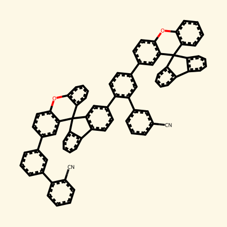 N#Cc1cccc(-c2cc(-c3ccc4c(c3)C3(c5ccccc5O4)c4ccccc4-c4ccccc43)ccc2-c2ccc3c(c2)C2(c4ccccc4Oc4ccc(-c5cccc(-c6ccccc6C#N)c5)cc42)c2ccccc2-3)c1